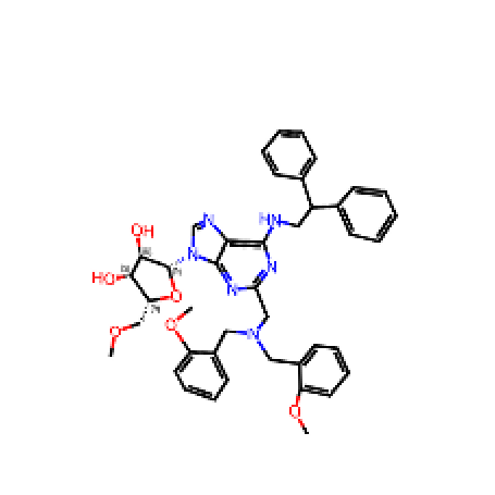 COC[C@H]1O[C@@H](n2cnc3c(NCC(c4ccccc4)c4ccccc4)nc(CN(Cc4ccccc4OC)Cc4ccccc4OC)nc32)[C@H](O)[C@@H]1O